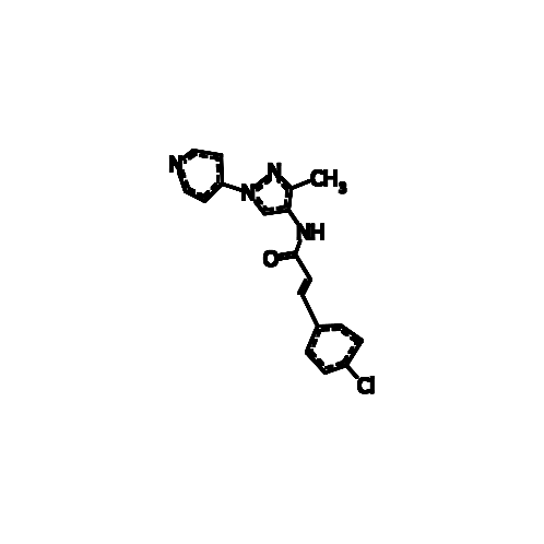 Cc1nn(-c2ccncc2)cc1NC(=O)C=Cc1ccc(Cl)cc1